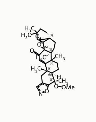 COO[C@]1(C)c2oncc2C[C@]2(C)C3=CC(=O)[C@]45OC(=O)[C@@]6(CCC(C)(C)C[C@H]64)CC[C@@]5(C)[C@]3(C)CC[C@H]21